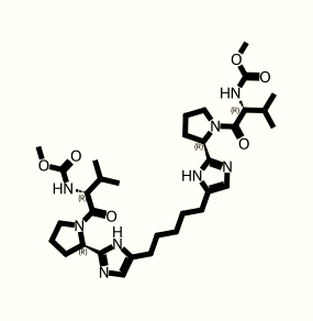 COC(=O)N[C@@H](C(=O)N1CCC[C@@H]1c1ncc(CCCCCc2cnc([C@H]3CCCN3C(=O)[C@H](NC(=O)OC)C(C)C)[nH]2)[nH]1)C(C)C